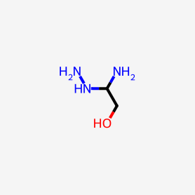 NNC(N)CO